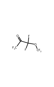 O=C(C(F)(F)F)C(F)(F)OC(F)(F)F